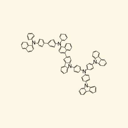 c1ccc(N(c2ccc(-c3ccc(N(c4ccccc4)c4ccc(-c5ccc6c(c5)c5ccccc5n6-c5ccc(N(c6ccc(-n7c8ccccc8c8ccccc87)cc6)c6ccc(-n7c8ccccc8c8ccccc87)cc6)cc5)c5ccccc45)cc3)cc2)c2cccc3ccccc23)cc1